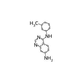 Cc1cccc(Nc2ncnc3cc(N)ccc23)c1